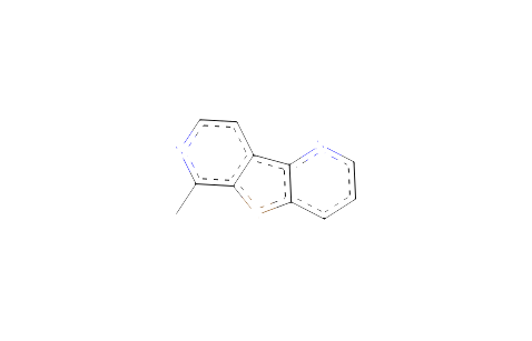 Cc1nccc2c1sc1cccnc12